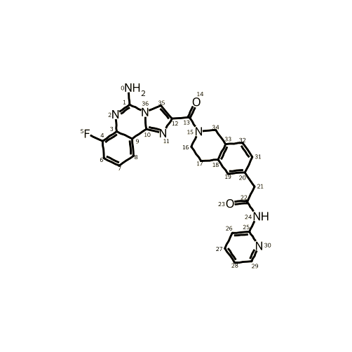 Nc1nc2c(F)cccc2c2nc(C(=O)N3CCc4cc(CC(=O)Nc5ccccn5)ccc4C3)cn12